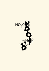 Cc1noc(-c2ccc(-c3ccc(C4(C(=O)O)CC4(F)F)cc3)cc2)c1NC(=O)O[C@H](C)c1ccccc1